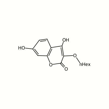 CCCCCCOc1c(O)c2ccc(O)cc2oc1=O